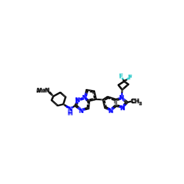 CN[C@H]1CC[C@@H](Nc2ncc3c(-c4cnc5nc(C)n(C6CC(F)(F)C6)c5c4)ccn3n2)CC1